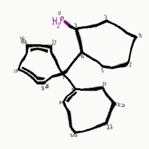 PC1CCCCC1C1(C2=CCCCC2)C=CC=C1